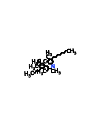 CCCCCCCCc1cc(N=C(C)C(=Cc2cc(C)c(C)c(CCCC)c2)CC)cc(C)c1C